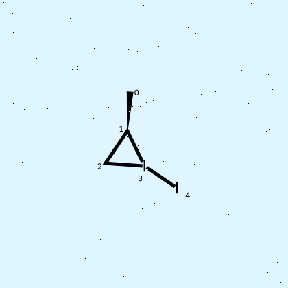 C[C@@H]1CI1I